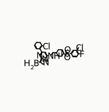 Bc1cnn2c(NCC3CCN(S(=O)(=O)c4ccc(F)c(Cl)c4)CC3)cc(C3=C(Cl)CCC=C3)nc12